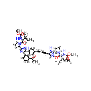 COC(=O)N[C@H](C(=O)N1CCC[C@H]1c1ncc(C#CC#Cc2ccc(-c3cnc([C@@H]4CCCN4C(=O)[C@@H](NC(=O)OC)C(C)C)[nH]3)cc2OC(C)c2ccccc2)[nH]1)C(C)C